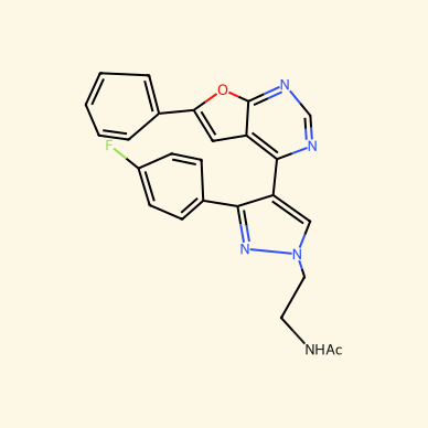 CC(=O)NCCn1cc(-c2ncnc3oc(-c4ccccc4)cc23)c(-c2ccc(F)cc2)n1